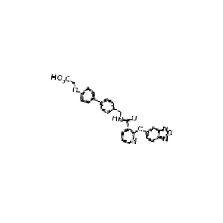 O=C(O)COc1ccc(-c2ccc(CNC(=O)c3cccnc3Oc3ccc4nonc4c3)cc2)cc1